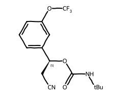 CC(C)(C)NC(=O)O[C@@H](CC#N)c1cccc(OC(F)(F)F)c1